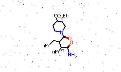 CCC[C@H](C(N)=O)C(CC(C)C)C(=O)N1CCC(C(=O)OCC)CC1